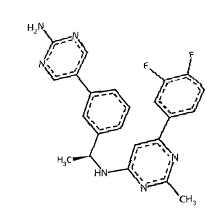 Cc1nc(N[C@@H](C)c2cccc(-c3cnc(N)nc3)c2)cc(-c2ccc(F)c(F)c2)n1